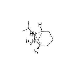 CC(C)N1C[C@H]2CCC[C@@H]1[C@@H]2N